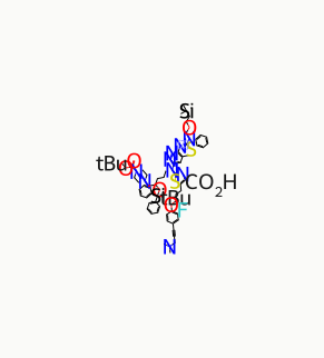 Cc1cc(N(CCCC(CN2CCN(C(=O)OC(C)(C)C)CC2)O[Si](c2ccccc2)(c2ccccc2)C(C)(C)C)c2nc(C(=O)O)c(CCCOc3ccc(C#CCN(C)C)cc3F)s2)nnc1/N=c1\sc2ccccc2n1COCC[Si](C)(C)C